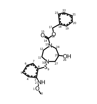 CONc1ccccc1SN1CCN(C(=O)OCc2ccccc2)CC(O)C1